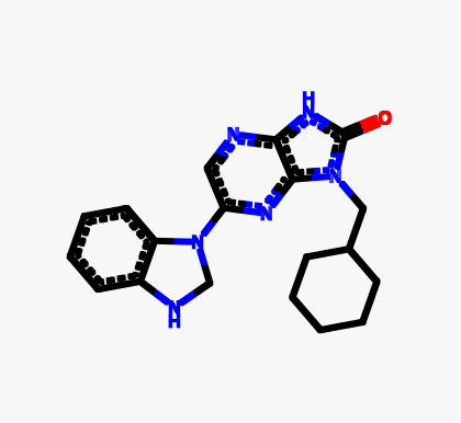 O=c1[nH]c2ncc(N3CNc4ccccc43)nc2n1CC1CCCCC1